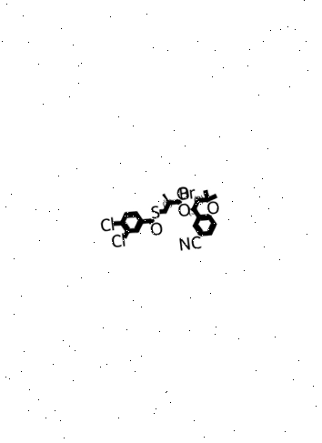 C[C@H](CSC(=O)c1ccc(Cl)c(Cl)c1)C(=O)O[C@H]1c2cc(C#N)ccc2OC(C)(C)[C@@H]1Br